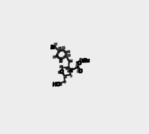 CC(C)(C)OC(=O)N1CC(CO)OCC1Cc1ccc(Br)cc1